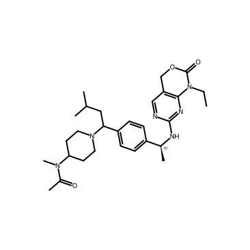 CCN1C(=O)OCc2cnc(N[C@@H](C)c3ccc(C(CC(C)C)N4CCC(N(C)C(C)=O)CC4)cc3)nc21